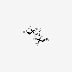 C=CC(O)(O)O[PH](=O)OC(O)(O)C=C